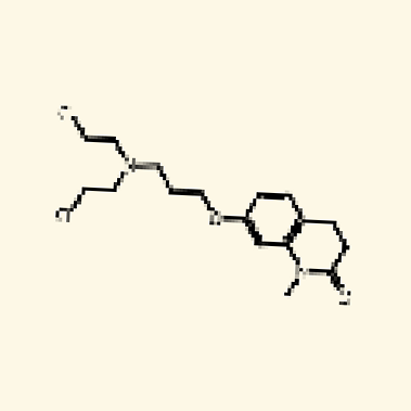 CN1C(=O)CCc2ccc(OCCCN(CCCl)CCCl)cc21